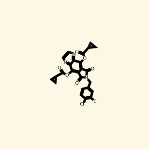 O=C(Oc1c2c(c(OC(=O)C3CC3)c3nccnc13)C(=O)N(Cc1ccc(Cl)c(Cl)c1)C2=O)C1CC1